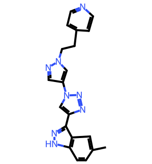 Cc1ccc2[nH]nc(-c3cn(-c4cnn(CCc5ccncc5)c4)nn3)c2c1